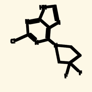 FC1(F)CCN(c2nc(Cl)nc3[nH]cnc23)C1